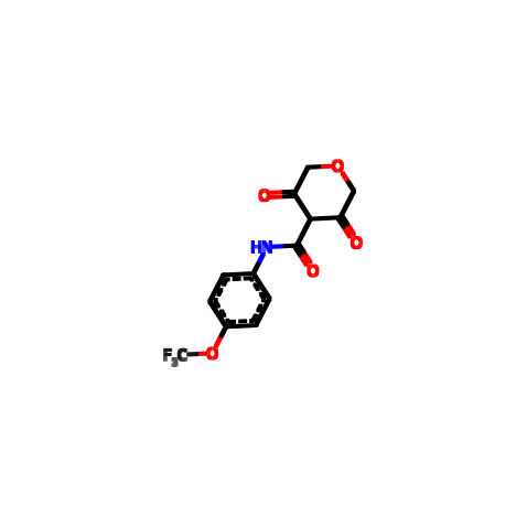 O=C1COCC(=O)C1C(=O)Nc1ccc(OC(F)(F)F)cc1